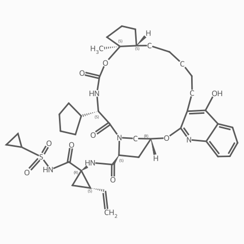 C=C[C@@H]1C[C@]1(NC(=O)[C@@H]1C[C@@H]2CN1C(=O)[C@H](C1CCCC1)NC(=O)O[C@@]1(C)CCC[C@@H]1CCCCCc1c(nc3ccccc3c1O)O2)C(=O)NS(=O)(=O)C1CC1